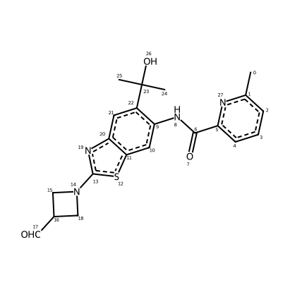 Cc1cccc(C(=O)Nc2cc3sc(N4CC(C=O)C4)nc3cc2C(C)(C)O)n1